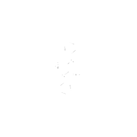 CCCCCCC(=N\c1ccccc1)/C(CCCC)=N/c1ccccc1.[Ni]